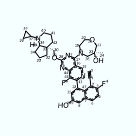 C#Cc1c(F)ccc2cc(O)cc(-c3ncc4c(N5CCOC[C@@](C)(O)C5)nc(OC[C@]56CCC[C@H]5N(C5CC5)CCC6)nc4c3F)c12